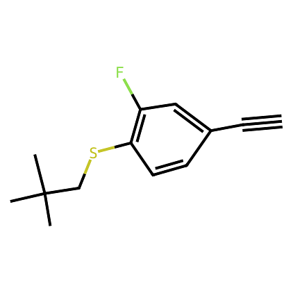 C#Cc1ccc(SCC(C)(C)C)c(F)c1